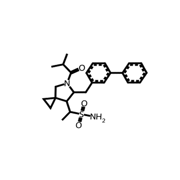 CC(C)C(=O)N1CC2(CC2)C(C(C)S(N)(=O)=O)C1Cc1cccc(-c2ccccc2)c1